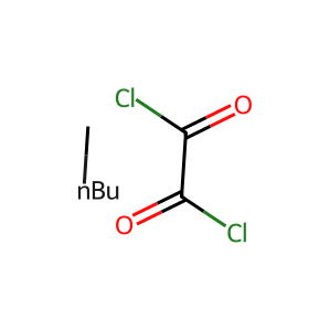 CCCCC.O=C(Cl)C(=O)Cl